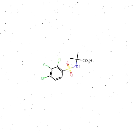 CC(C)(NS(=O)(=O)c1ccc(Cl)c(Cl)c1Cl)C(=O)O